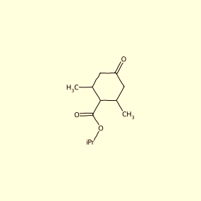 CC(C)OC(=O)C1C(C)CC(=O)CC1C